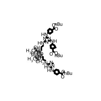 CCCCOC(=O)c1ccc(Nc2ncnc(NCCC[Si](C)(O[Si](C)(C)C)O[Si](C)(CCCNc3nc(Nc4ccc(C(=O)OCCCC)cc4)nc(Nc4ccc(C(=O)OCCCC)cc4)n3)O[Si](C)(C)C)n2)cc1